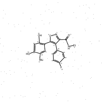 CCNC(=O)c1noc(-c2cc(C(C)(C)C)c(O)cc2O)c1-c1ccc(F)cc1